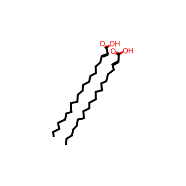 CCCCCCCCCCCCCCCCCC=CC(=O)O.CCCCCCCCCCCCCCCCCC=CC(=O)O